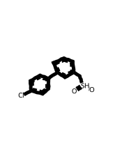 O=[SH](=O)Cc1[c]c(-c2ccc(Cl)cc2)ccc1